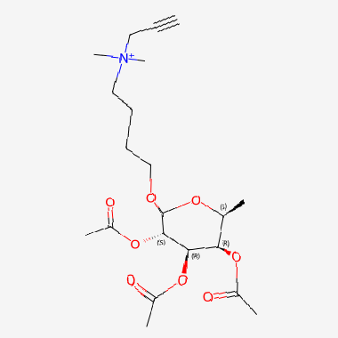 C#CC[N+](C)(C)CCCCOC1O[C@@H](C)[C@@H](OC(C)=O)[C@@H](OC(C)=O)[C@@H]1OC(C)=O